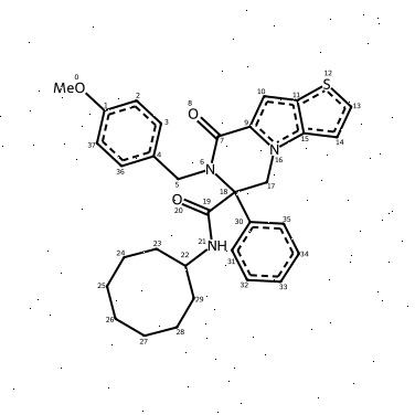 COc1ccc(CN2C(=O)c3cc4sccc4n3CC2(C(=O)NC2CCCCCCC2)c2ccccc2)cc1